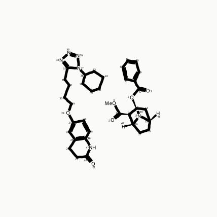 COC(=O)[C@H]1[C@@H](OC(=O)c2ccccc2)C[C@@H]2CC[C@H]1N2C.O=C1CCc2cc(OCCCCc3nnnn3C3CCCCC3)ccc2N1